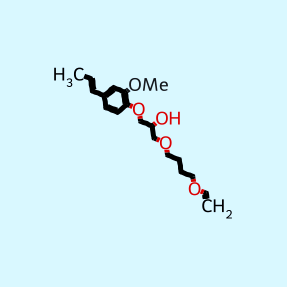 C=COCCCCOCC(O)COc1ccc(C=CC)cc1OC